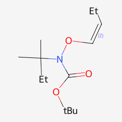 CC/C=C\ON(C(=O)OC(C)(C)C)C(C)(C)CC